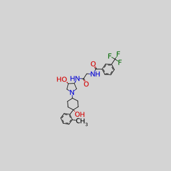 Cc1ccccc1C1(O)CCC(N2C[C@@H](O)[C@@H](NC(=O)CNC(=O)c3cccc(C(F)(F)F)c3)C2)CC1